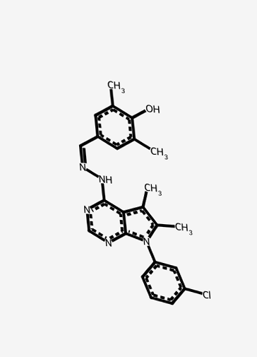 Cc1cc(/C=N\Nc2ncnc3c2c(C)c(C)n3-c2cccc(Cl)c2)cc(C)c1O